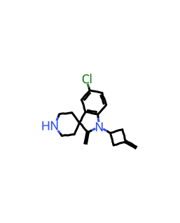 C=C1CC(N2C(=C)C3(CCNCC3)c3cc(Cl)ccc32)C1